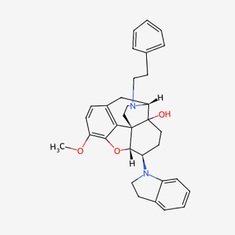 COc1ccc2c3c1O[C@H]1[C@H](N4CCc5ccccc54)CCC4(O)[C@@H](C2)N(CCc2ccccc2)CC[C@]314